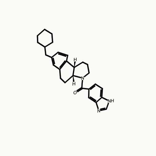 O=C(c1ccc2[nH]cnc2c1)N1CCC[C@H]2c3ccc(CC4CCCCC4)cc3CC[C@H]21